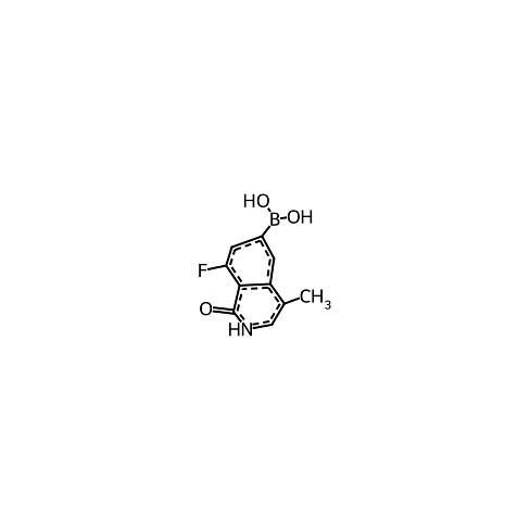 Cc1c[nH]c(=O)c2c(F)cc(B(O)O)cc12